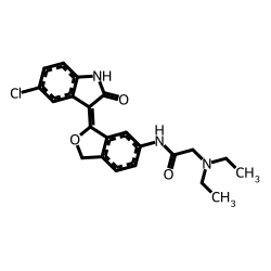 CCN(CC)CC(=O)Nc1ccc2c(c1)C(=C1C(=O)Nc3ccc(Cl)cc31)OC2